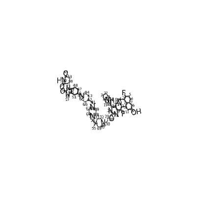 C#Cc1c(F)ccc2cc(O)cc(-c3ncc4c(N5CC6CCC(C5)N6)nc(OCCN5CCC(C)(CN6CCN(CC7CCN(c8ccc9c(c8)n(C)c(=O)n9C8CCC(=O)NC8=O)CC7)CC6)CC5)nc4c3F)c12